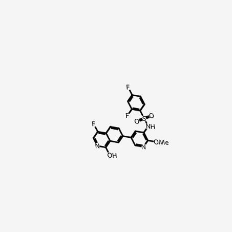 COc1ncc(-c2ccc3c(F)cnc(O)c3c2)cc1NS(=O)(=O)c1ccc(F)cc1F